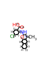 C/C(=C/C(=O)Nc1cc(Cl)ccc1C(=O)O)c1ccc2ccccc2c1